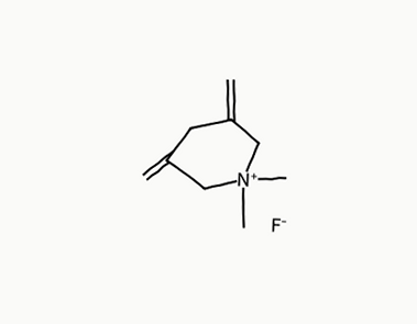 C=C1CC(=C)C[N+](C)(C)C1.[F-]